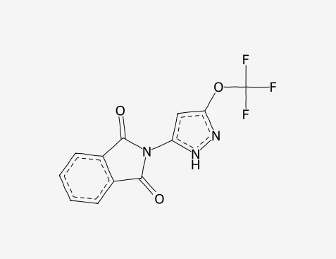 O=C1c2ccccc2C(=O)N1c1cc(OC(F)(F)F)n[nH]1